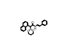 O=C(NC=Cc1ccccc1)C(c1cccc2ccccc12)P1OCCCO1